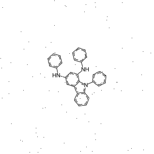 c1ccc(Nc2cc(Nc3ccccc3)c3c(c2)c2ccccc2n3-c2ccccc2)cc1